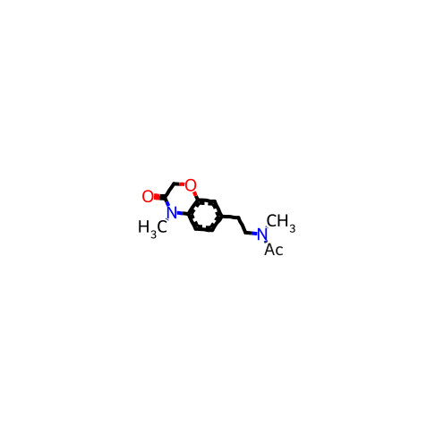 CC(=O)N(C)CCc1ccc2c(c1)OCC(=O)N2C